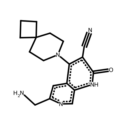 N#Cc1c(N2CCC3(CCC3)CC2)c2cc(CN)ncc2[nH]c1=O